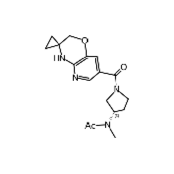 CC(=O)N(C)[C@H]1CCN(C(=O)c2cnc3c(c2)OCC2(CC2)N3)C1